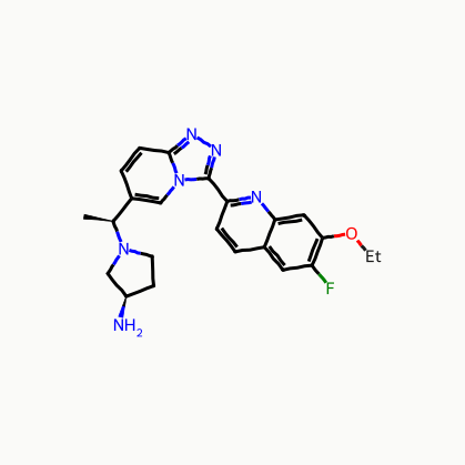 CCOc1cc2nc(-c3nnc4ccc([C@H](C)N5CC[C@@H](N)C5)cn34)ccc2cc1F